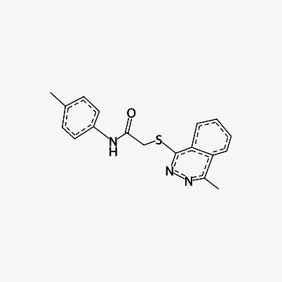 Cc1ccc(NC(=O)CSc2nnc(C)c3ccccc23)cc1